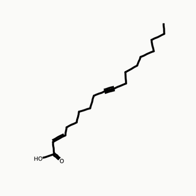 CCCCCCCCC#CCCCCC/C=C/C(=O)O